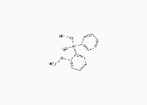 CCCOC(C)(c1ccccc1)c1ccccc1OC(=O)O